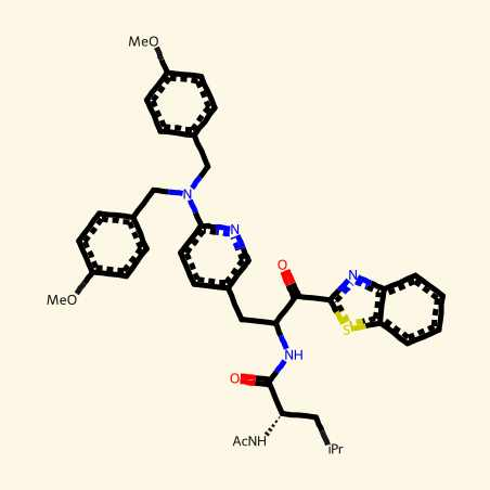 COc1ccc(CN(Cc2ccc(OC)cc2)c2ccc(CC(NC(=O)[C@H](CC(C)C)NC(C)=O)C(=O)c3nc4ccccc4s3)cn2)cc1